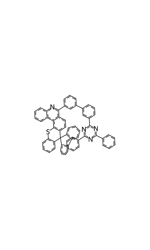 c1ccc(-c2nc(-c3ccccc3)nc(-c3cccc(-c4cccc(-c5nc6ccccc6c6c7c(ccc56)C5(c6ccccc6S7)c6ccccc6-c6ccccc65)c4)c3)n2)cc1